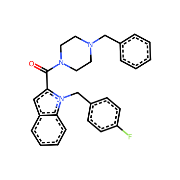 O=C(c1cc2ccccc2n1Cc1ccc(F)cc1)N1CCN(Cc2ccccc2)CC1